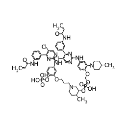 C=CC(=O)Nc1cccc(-c2nc(Nc3ccc(OP(=O)(O)O)c(OCCCN4CCC(C)C(OP(=O)(O)OCOc5ccc(Nc6ncc(Cl)c(-c7cccc(NC(=O)C=C)c7)n6)cc5N5CCC(C)CC5)C4)c3)ncc2Cl)c1